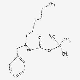 CCCCCCN(Cc1ccccc1)NC(=O)OC(C)(C)C